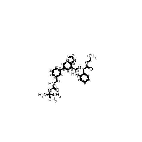 CCOC(=O)Cc1ccccc1NC(=O)c1cc(-c2cccc(CNC(=O)OC(C)(C)C)c2)cn2ncnc12